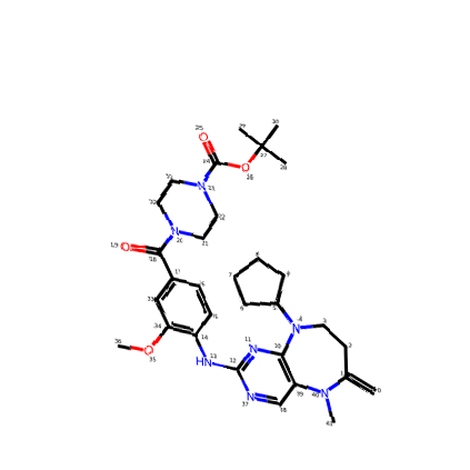 C=C1CCN(C2CCCC2)c2nc(Nc3ccc(C(=O)N4CCN(C(=O)OC(C)(C)C)CC4)cc3OC)ncc2N1C